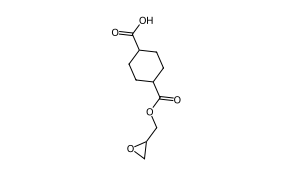 O=C(O)C1CCC(C(=O)OCC2CO2)CC1